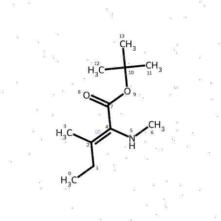 CC/C(C)=C(\NC)C(=O)OC(C)(C)C